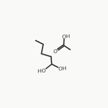 CC(=O)O.CCCCC(O)O